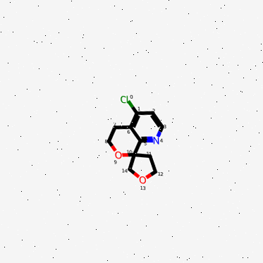 Clc1ccnc2c1CCOC21CCOC1